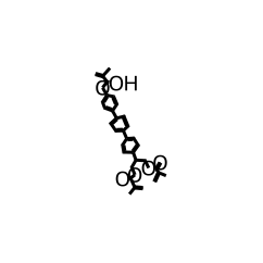 C=C(C)C(=O)OCC(COC(=O)C(=C)C)c1ccc(-c2ccc(-c3ccc(OC(O)C(=C)C)cc3)cc2)cc1